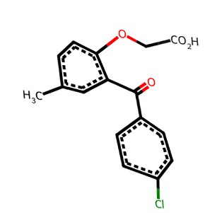 Cc1ccc(OCC(=O)O)c(C(=O)c2ccc(Cl)cc2)c1